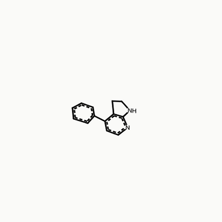 c1ccc(-c2ccnc3c2CCN3)cc1